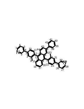 Cc1cc(-c2cccnc2)ccc1-c1c2ccccc2c(-c2ccc(-c3cccnc3)cc2C)c2cc(-c3ccccc3)ccc12